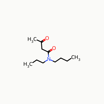 CCCCN(CCC)C(=O)CC(C)=O